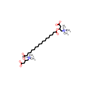 C[N+](C)(C)CC(CC(=O)[O-])OC(=O)CCCCCCCCCCCCCCCCC(=O)OC(CC(=O)[O-])C[N+](C)(C)C